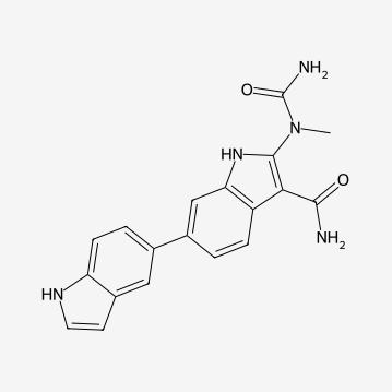 CN(C(N)=O)c1[nH]c2cc(-c3ccc4[nH]ccc4c3)ccc2c1C(N)=O